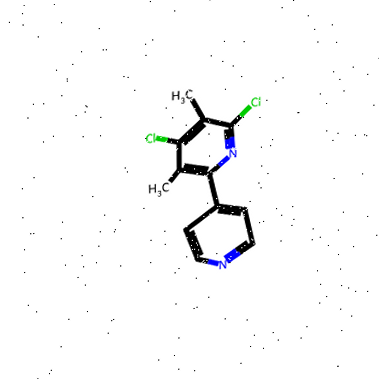 Cc1c(Cl)nc(-c2ccncc2)c(C)c1Cl